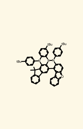 CC(C)(C)c1ccc(N2B3c4cc(C(C)(C)C)ccc4N(c4ccc(C(C)(C)C)cc4)c4c3c(cc3c4C(C)(C)c4ccccc4-3)-c3c2ccc2oc4ccccc4c32)cc1